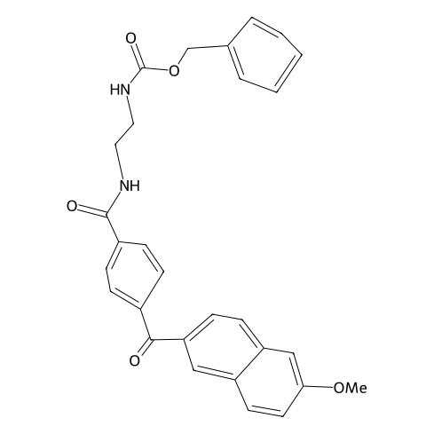 COc1ccc2cc(C(=O)c3ccc(C(=O)NCCNC(=O)OCc4ccccc4)cc3)ccc2c1